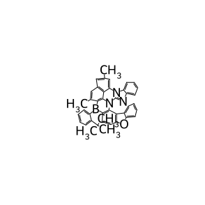 Cc1cc2cc(C)c3c4c2c(c1)n1c2ccccc2nc1n4-c1c(ccc2oc4ccccc4c12)B3c1ccccc1C(C)(C)C